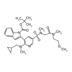 COCCN(C)C(=O)CN(C)S(=O)(=O)c1cnc(N(C)CC2CC2)c(-c2cc3ccccc3n2C(=O)OC(C)(C)C)c1